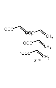 C=CC(=O)[O-].C=CC(=O)[O-].C=CC(=O)[O-].C=CC(=O)[O-].[Zr+4]